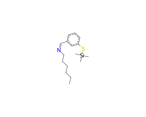 CCCCCC/N=C\c1cccc(S[Si](C)(C)C)c1